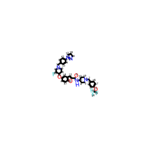 O=C(NC1CCN(Cc2ccc(OC(F)(F)F)cc2)CC1)c1cc2cc(O[C@@H]3CCN(Cc4ccc(-n5cccn5)cc4)C[C@H]3F)ccc2o1